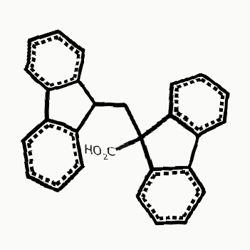 O=C(O)C1(CC2c3ccccc3-c3ccccc32)c2ccccc2-c2ccccc21